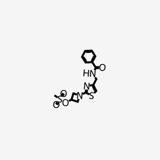 CS(=O)(=O)OC1CN(c2nc(CNC(=O)c3ccccc3)cs2)C1